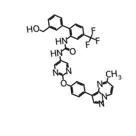 Cc1ccn2ncc(-c3ccc(Oc4ncc(NC(=O)Nc5cc(C(F)(F)F)ccc5-c5cccc(CO)c5)cn4)cc3)c2n1